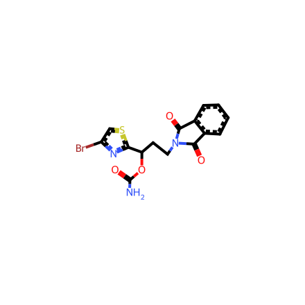 NC(=O)OC(CCN1C(=O)c2ccccc2C1=O)c1nc(Br)cs1